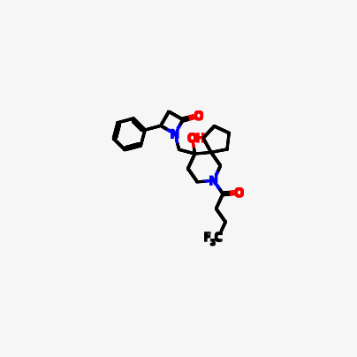 O=C(CCC(F)(F)F)N1CCC(O)(CN2C(=O)CC2c2ccccc2)C2(CCCC2)C1